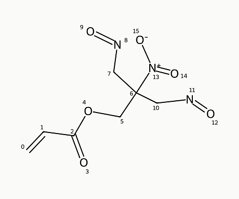 C=CC(=O)OCC(CN=O)(CN=O)[N+](=O)[O-]